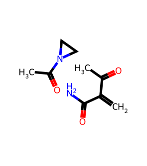 C=C(C(C)=O)C(N)=O.CC(=O)N1CC1